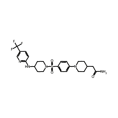 NC(=O)CC1CCN(c2ccc(S(=O)(=O)N3CCC(Nc4ccc(C(F)(F)F)cn4)CC3)cc2)CC1